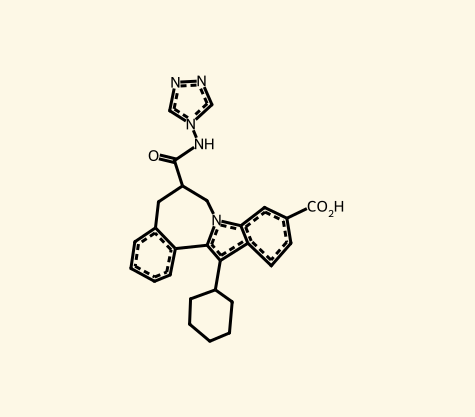 O=C(O)c1ccc2c(C3CCCCC3)c3n(c2c1)CC(C(=O)Nn1cnnc1)Cc1ccccc1-3